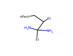 CCCCCCC(CC)C(N)(N)CC